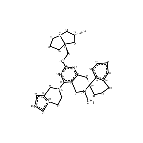 CN1Cc2c(nc(OC[C@@]34CCCN3C[C@H](F)C4)nc2N2CCn3cncc3C2)C[C@]12CCCc1ccccc12